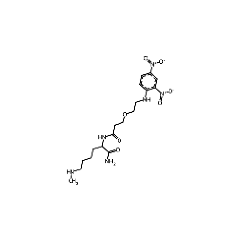 CNCCCCC(NC(=O)CCOCCNc1ccc([N+](=O)[O-])cc1[N+](=O)[O-])C(N)=O